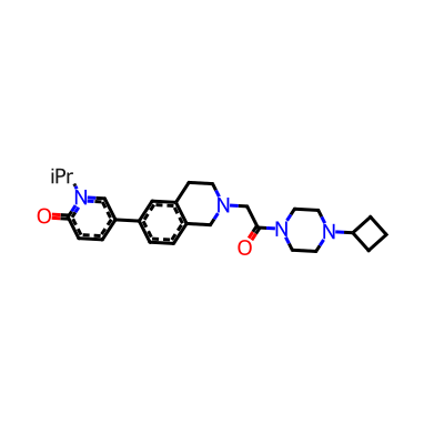 CC(C)n1cc(-c2ccc3c(c2)CCN(CC(=O)N2CCN(C4CCC4)CC2)C3)ccc1=O